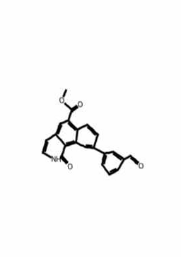 COC(=O)c1cc2cc[nH]c(=O)c2c2cc(-c3cccc(C=O)c3)ccc12